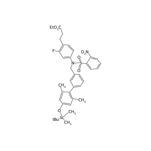 CCOC(=O)CCc1ccc(N(Cc2cccc(-c3c(C)cc(O[Si](C)(C)C(C)(C)C)cc3C)c2)S(=O)(=O)c2ccccc2[N+](=O)[O-])cc1F